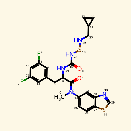 CN(C(=O)C(Cc1cc(F)cc(F)c1)NC(=O)NSNCC1CC1)c1ccc2scnc2c1